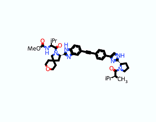 COC(=O)N[C@H](C(=O)N1CC2(CCOCC2)C[C@H]1c1nc2cc(C#Cc3ccc(-c4c[nH]c([C@@H]5CCCN5C(=O)[C@@H](C)C(C)C)n4)cc3)ccc2[nH]1)C(C)C